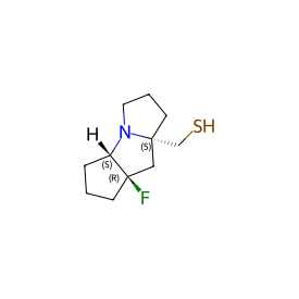 F[C@@]12CCC[C@@H]1N1CCC[C@@]1(CS)C2